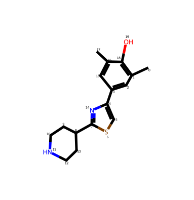 Cc1cc(-c2csc(C3CCNCC3)n2)cc(C)c1O